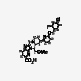 COCCn1c(CN2CCC(c3cccc(OCc4ccc(Cl)cc4F)n3)CC2)nc2ccc(C(=O)O)nc21